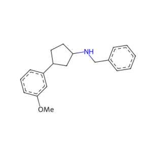 COc1cccc(C2CCC(NCc3ccccc3)C2)c1